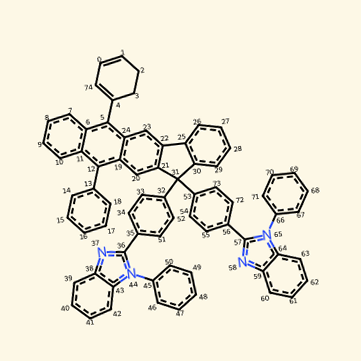 C1=CCCC(c2c3ccccc3c(-c3ccccc3)c3cc4c(cc23)-c2ccccc2C4(c2ccc(-c3nc4ccccc4n3-c3ccccc3)cc2)c2ccc(-c3nc4ccccc4n3-c3ccccc3)cc2)=C1